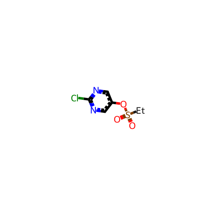 CCS(=O)(=O)Oc1cnc(Cl)nc1